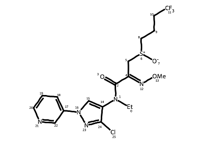 CCN(C(=O)C(C[S+]([O-])CCCC(F)(F)F)=NOC)c1cn(-c2cccnc2)nc1Cl